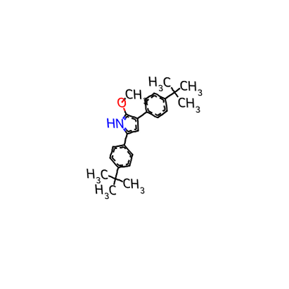 COc1[nH]c(-c2ccc(C(C)(C)C)cc2)cc1-c1ccc(C(C)(C)C)cc1